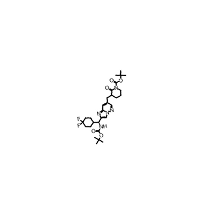 CC(C)(C)OC(=O)N[C@H](c1cn2ncc(CC3CCCN(C(=O)OC(C)(C)C)C3=O)cc2n1)C1CCC(F)(F)CC1